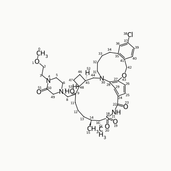 COCCN1CCN(CC2(O)CCC[C@H](C)[C@@H](C)S(=O)(=O)NC(=O)c3ccc4c(c3)N(CCCCc3cc(Cl)ccc3CO4)C[C@@H]3CC[C@H]32)CC1=O